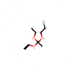 C=COC(C)(OCC)OCCCl